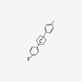 Cc1ccc(C23CCC(c4ccc(F)cc4)(CC2)CC3)cc1